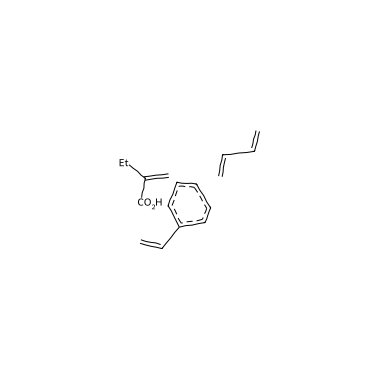 C=C(CC)C(=O)O.C=CC=C.C=Cc1ccccc1